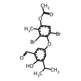 CC(=O)Oc1cc(Br)c(Oc2cc(C=O)c(O)c(C(C)C)c2)c(Br)c1C